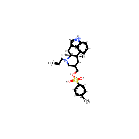 C=CCN1CC(COS(=O)(=O)c2ccc(C)cc2)C[C@@H]2c3cccc4[nH]cc(c34)C[C@H]21